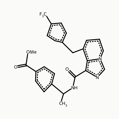 COC(=O)c1ccc(C(C)NC(=O)c2ncn3cccc(Cc4ccc(C(F)(F)F)cc4)c23)cc1